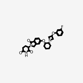 O=C1CCC(N2Cc3cc(O[C@@H]4CCCC[C@H]4N4CC(Oc5cccc(F)c5)C4)ccc3C2=O)C(=O)N1